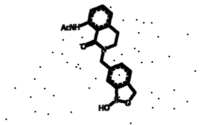 CC(=O)Nc1cccc2c1C(=O)N(Cc1ccc3c(c1)B(O)OC3)CC2